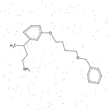 CC(CCN)c1cccc(OCCCCOCc2ccccc2)c1